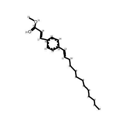 CCCCCCCCCCC/C=C/c1ccc(/C=C/C(=O)OC)cc1